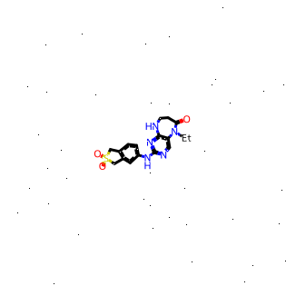 CCN1C(=O)CCNc2nc(Nc3ccc4c(c3)CS(=O)(=O)C4)ncc21